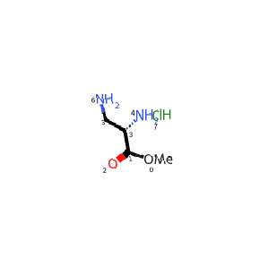 COC(=O)[C@@H](N)CN.Cl